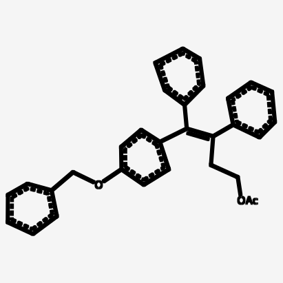 CC(=O)OCC/C(=C(/c1ccccc1)c1ccc(OCc2ccccc2)cc1)c1ccccc1